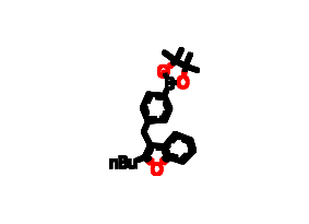 CCCCc1oc2ccccc2c1Cc1ccc(B2OC(C)(C)C(C)(C)O2)cc1